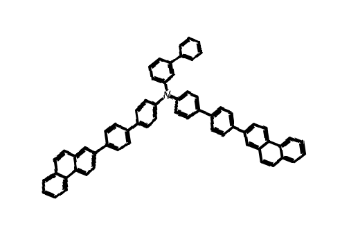 c1ccc(-c2cccc(N(c3ccc(-c4ccc(-c5ccc6c(ccc7ccccc76)c5)cc4)cc3)c3ccc(-c4ccc(-c5ccc6c(ccc7ccccc76)c5)cc4)cc3)c2)cc1